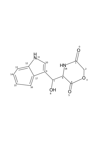 O=C1COC(=O)C(C(O)c2c[nH]c3ccccc23)N1